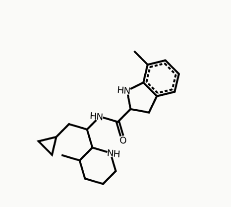 Cc1cccc2c1NC(C(=O)NC(CC1CC1)C1NCCCC1C)C2